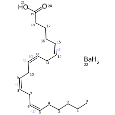 CCCCC/C=C\C/C=C\C/C=C\C/C=C\CCCC(=O)O.[BaH2]